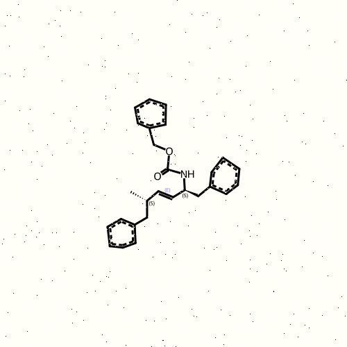 C[C@H](/C=C/[C@H](Cc1ccccc1)NC(=O)OCc1ccccc1)Cc1ccccc1